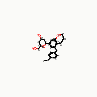 CCc1ccc(Cc2cc(C3CC(O)CC(CO)O3)cc3c2CCCO3)cc1